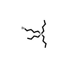 CCC[CH2][Sn]([CH2]CCC)([CH2]CCC)[CH2]CCCBr